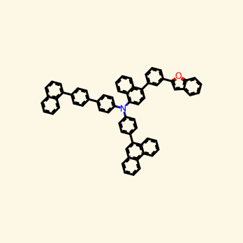 c1cc(-c2cc3ccccc3o2)cc(-c2ccc(N(c3ccc(-c4ccc(-c5cccc6ccccc56)cc4)cc3)c3ccc(-c4cc5ccccc5c5ccccc45)cc3)c3ccccc23)c1